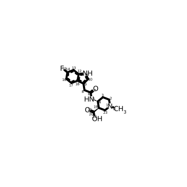 CN1CC[C@@H](NC(=O)Cc2c[nH]c3cc(F)ccc23)[C@H](C(=O)O)C1